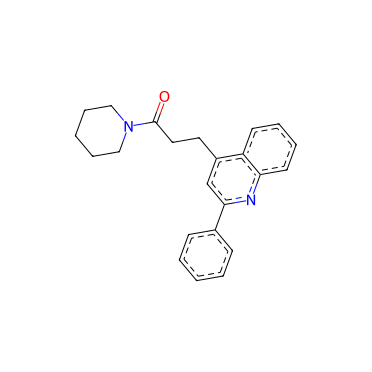 O=C(CCc1cc(-c2ccccc2)nc2ccccc12)N1CCCCC1